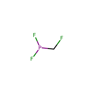 FCP(F)F